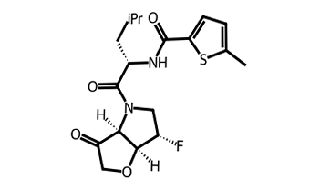 Cc1ccc(C(=O)N[C@@H](CC(C)C)C(=O)N2C[C@H](F)[C@H]3OCC(=O)[C@H]32)s1